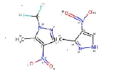 Cc1c([N+](=O)[O-])cnn1C(F)F.Cc1n[nH]cc1[N+](=O)[O-]